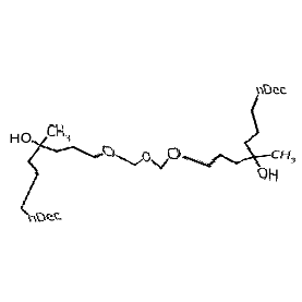 CCCCCCCCCCCCCC(C)(O)CCCOCOCOCCCC(C)(O)CCCCCCCCCCCCC